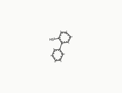 Sc1ccccc1-c1ccccc1